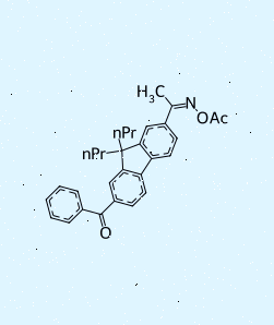 CCCC1(CCC)c2cc(C(=O)c3ccccc3)ccc2-c2ccc(/C(C)=N\OC(C)=O)cc21